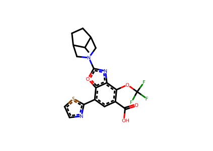 CC1C2CCC1CN(c1nc3c(OC(F)(F)F)c(C(=O)O)cc(-c4nccs4)c3o1)C2